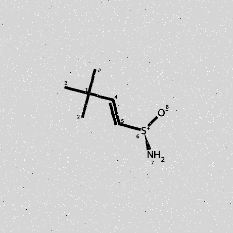 CC(C)(C)/C=C/[S@+](N)[O-]